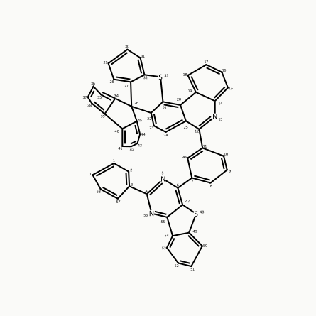 c1ccc(-c2nc(-c3cccc(-c4nc5ccccc5c5c6c(ccc45)C4(c5ccccc5S6)c5ccccc5-c5ccccc54)c3)c3sc4ccccc4c3n2)cc1